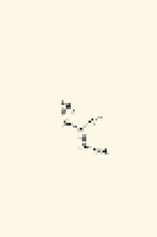 C=N/C(=N/N)C(C)C